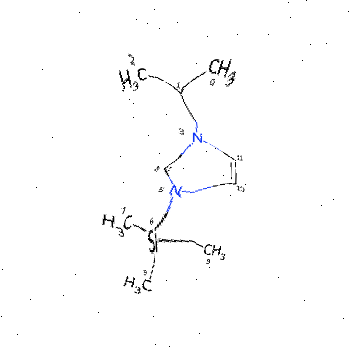 CC(C)N1[C]N([Si](C)(C)C)C=C1